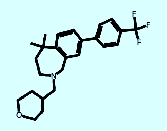 CC1(C)CCN(CC2CCOCC2)Cc2cc(-c3ccc(C(F)(F)F)cc3)ccc21